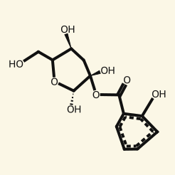 O=C(O[C@@]1(O)C[C@H](O)C(CO)O[C@H]1O)c1ccccc1O